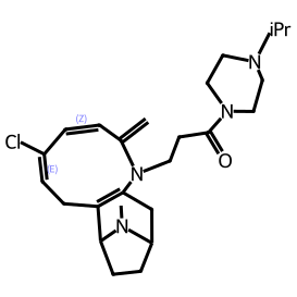 C=C1/C=C\C(Cl)=C/CC2=C(CC3CCC2N3C)N1CCC(=O)N1CCN(C(C)C)CC1